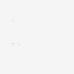 CNC(CS)C1(C)C(C)C12C=C2